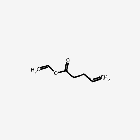 C=CCCC(=O)OC=C